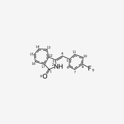 O=C1NC(=Cc2ccc(F)cc2)c2ccccc21